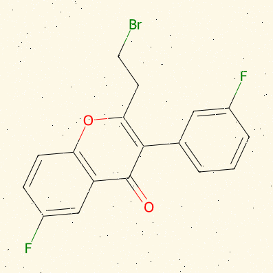 O=c1c(-c2cccc(F)c2)c(CCBr)oc2ccc(F)cc12